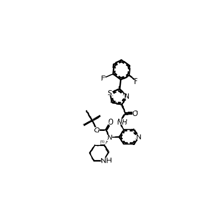 CC(C)(C)OC(=O)N(c1ccncc1NC(=O)c1csc(-c2c(F)cccc2F)n1)[C@H]1CCCNC1